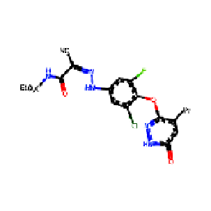 CCOC(=O)NC(=O)/C(C#N)=N\Nc1cc(F)c(Oc2n[nH]c(=O)cc2C(C)C)c(Cl)c1